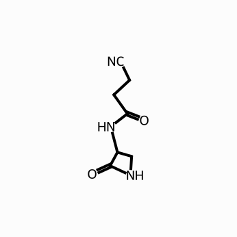 N#CCCC(=O)NC1CNC1=O